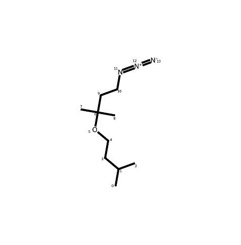 CC(C)CCOC(C)(C)CCN=[N+]=[N-]